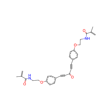 C=C(C)C(=O)NCCOc1ccc(C#CC(=O)C#Cc2ccc(OCCNC(=O)C(=C)C)cc2)cc1